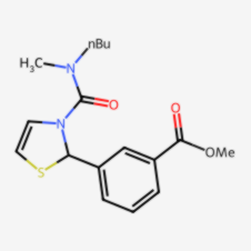 CCCCN(C)C(=O)N1C=CSC1c1cccc(C(=O)OC)c1